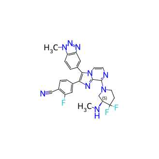 CN[C@H]1CN(c2nccn3c(-c4ccc5c(c4)nnn5C)c(-c4ccc(C#N)c(F)c4)nc23)CCC1(F)F